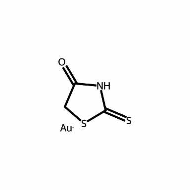 O=C1CSC(=S)N1.[Au]